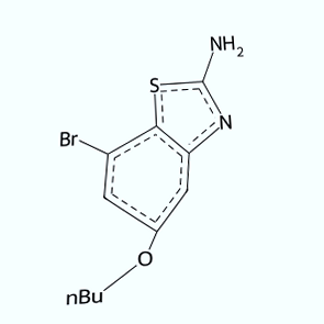 CCCCOc1cc(Br)c2sc(N)nc2c1